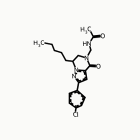 CCCCCC1CN(CNC(C)=O)C(=O)c2cc(-c3ccc(Cl)cc3)nn21